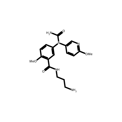 COc1ccc(N(C(N)=O)c2ccc(OC)c(C(=O)NCCCN)c2)cn1